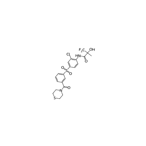 CC(O)(C(=O)Nc1ccc(S(=O)(=O)c2cccc(C(=O)N3CCSCC3)c2)cc1Cl)C(F)(F)F